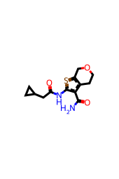 NC(=O)c1c(NC(=O)CC2CC2)sc2c1CCOC2